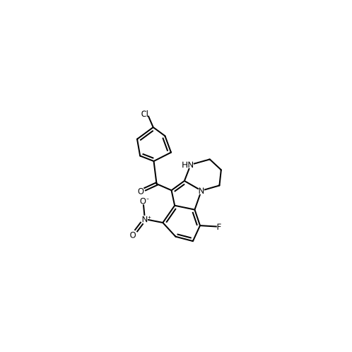 O=C(c1ccc(Cl)cc1)c1c2n(c3c(F)ccc([N+](=O)[O-])c13)CCCN2